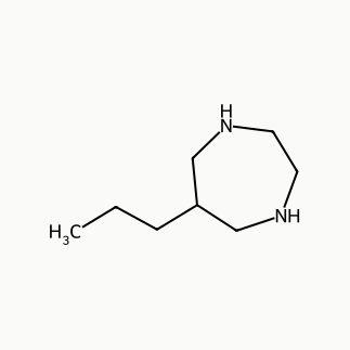 CCCC1CNCCNC1